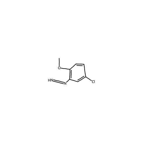 COc1ccc(Cl)cc1N=N